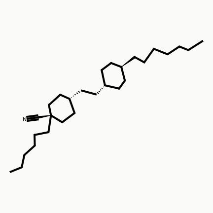 CCCCCCC[C@H]1CC[C@H](CC[C@H]2CC[C@@](C#N)(CCCCCC)CC2)CC1